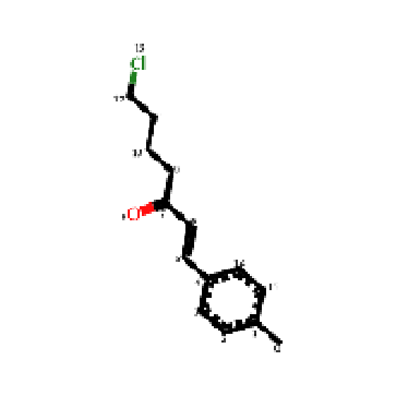 Cc1ccc(C=CC(=O)CCCCCl)cc1